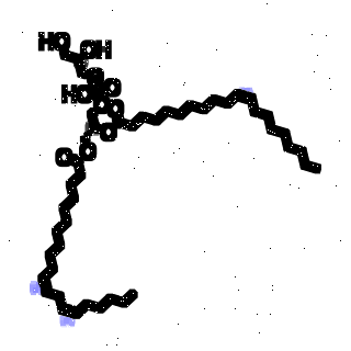 CCCCC/C=C\C/C=C\CCCCCCCCCC(=O)OC[C@H](COP(=O)(O)OC[C@@H](O)CO)OC(=O)CCCCCCCCC/C=C\CCCCCCCC